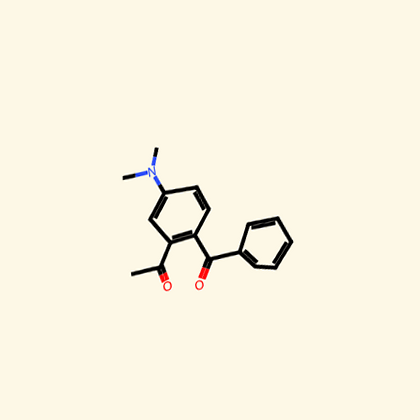 CC(=O)c1cc(N(C)C)ccc1C(=O)c1ccccc1